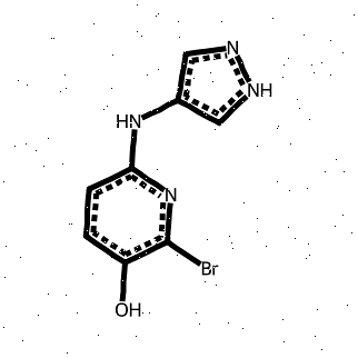 Oc1ccc(Nc2cn[nH]c2)nc1Br